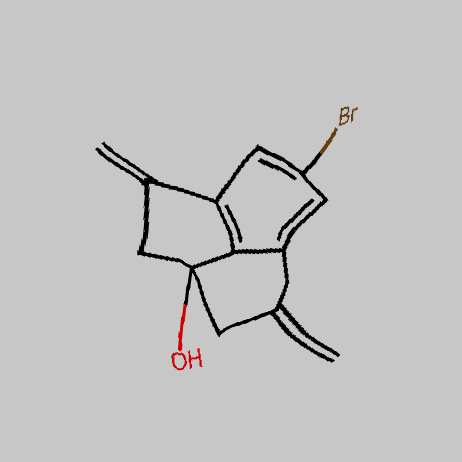 C=C1CC2(O)CC(=C)c3cc(Br)cc1c32